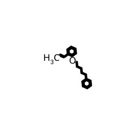 CC=Cc1ccccc1OCCCCCc1ccccc1